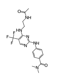 CC(=O)NCCNc1nc(Nc2ccc(C(=O)N(C)C)cc2)ncc1C(F)(F)F